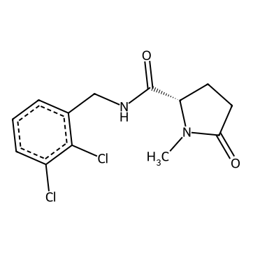 CN1C(=O)CC[C@H]1C(=O)NCc1cccc(Cl)c1Cl